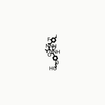 CC(C)[C@@H](c1ncc(-c2ccc(I)cc2F)[nH]1)N1C(=O)NC(c2ccc(OCCO)cc2)C1=O